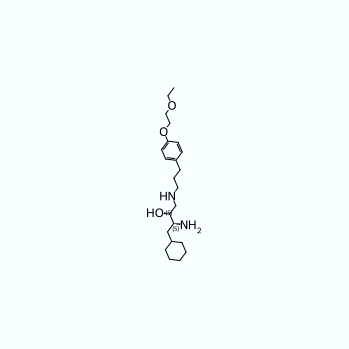 CCOCCOc1ccc(CCCNC[C@H](O)[C@@H](N)CC2CCCCC2)cc1